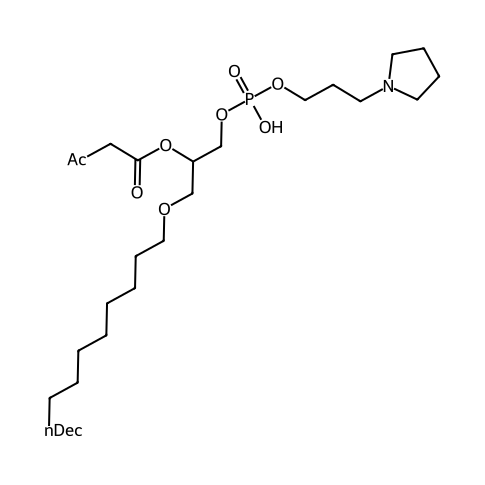 CCCCCCCCCCCCCCCCCCOCC(COP(=O)(O)OCCCN1CCCC1)OC(=O)CC(C)=O